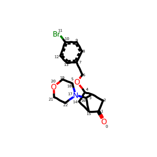 O=C1CC2C(OCc3ccc(Br)cc3)CC1C2N1CCOCC1